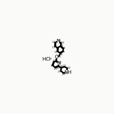 Cl.c1cc(OCc2ccc3cnccc3c2)nc(C2CCNCC2)c1